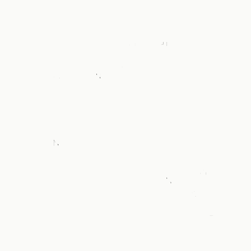 CCS(=O)(=O)Nc1cccc(C2CCN(Cc3cn(C(=O)OC(C)(C)C)c4ccccc34)C2)c1